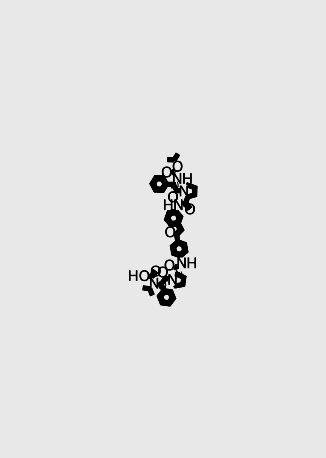 CC(C)OC(=O)N[C@H](C(=O)N1CCCC1C(=O)Nc1ccc2oc(-c3ccc(NC(=O)[C@@H]4CCCN4C(=O)[C@@H](c4ccccc4)N(C(=O)O)C(C)C)cc3)cc2c1)c1ccccc1